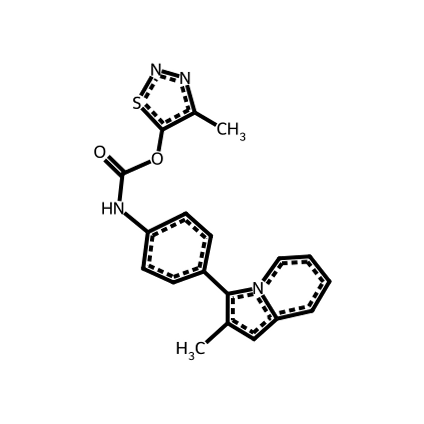 Cc1cc2ccccn2c1-c1ccc(NC(=O)Oc2snnc2C)cc1